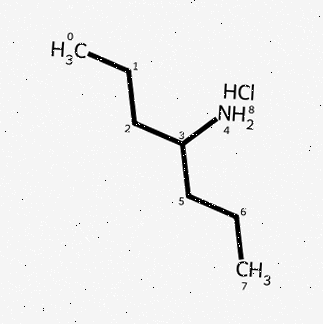 CCCC(N)CCC.Cl